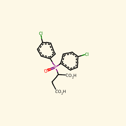 O=C(O)CC(C(=O)O)P(=O)(c1ccc(Cl)cc1)c1ccc(Cl)cc1